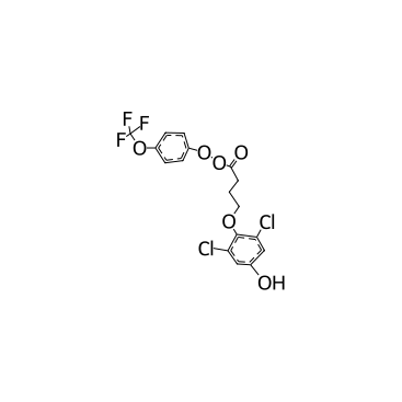 O=C(CCCOc1c(Cl)cc(O)cc1Cl)OOc1ccc(OC(F)(F)F)cc1